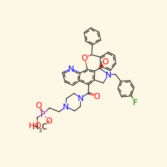 COP(=O)(CO)CCN1CCN(C(=O)c2c3c(c(OC(c4ccccc4)c4ccccc4)c4ncccc24)C(=O)N(Cc2ccc(F)cc2)C3)CC1